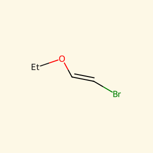 CCOC=CBr